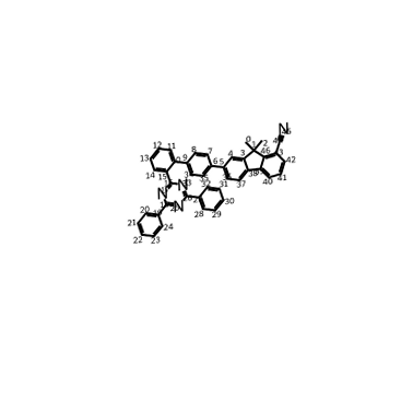 CC1(C)c2cc(-c3ccc(-c4ccccc4-c4nc(-c5ccccc5)nc(-c5ccccc5)n4)cc3)ccc2-c2cccc(C#N)c21